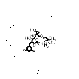 CC(=O)NC(Cc1cc(F)cc(F)c1)C(O)CNC1(COCCC(C)(C)C)CC1O